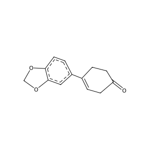 O=C1CC=C(c2ccc3c(c2)OCO3)CC1